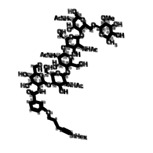 CCCCCCC#CCCCOc1cccc(C(=O)N[C@@H]2C(O[C@H]3C(O)C(NC(C)=O)C(OC4C(CO)O[C@@H](O[C@H]5C(O)C(NC(C)=O)C(OC6C(CO[C@@H]7OC(C)C(O)[C@H](O)[C@H]7OC)OC(O)[C@@H](NC(C)=O)[C@H]6O)O[C@H]5CO)[C@@H](NC(C)=O)[C@H]4O)O[C@H]3CO)OC(CO)[C@@H](O)[C@@H]2O)c1